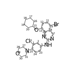 Clc1cc(Nc2ncc3c(Br)ccc(OC4CCCCC4)c3n2)ccc1N1CCOCC1